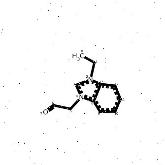 CCn1c[n+](CC=O)c2ccccc21